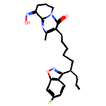 CCCC(CCCCCc1c(C)nc2n(c1=O)CCC/C2=N/O)c1noc2cc(F)ccc12